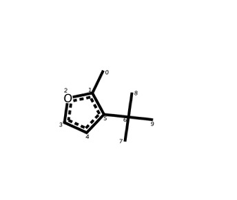 Cc1occc1C(C)(C)C